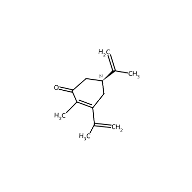 C=C(C)C1=C(C)C(=O)C[C@@H](C(=C)C)C1